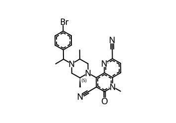 CC1CN(c2c(C#N)c(=O)n(C)c3ccc(C#N)nc23)[C@@H](C)CN1C(C)c1ccc(Br)cc1